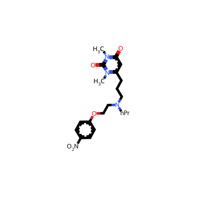 CCCN(CCCc1cc(=O)n(C)c(=O)n1C)CCOc1ccc([N+](=O)[O-])cc1